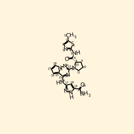 Cc1cnc(NC(=O)[C@@H]2CCCN2c2nc(Nc3cc(C(N)=O)[nH]n3)c3cccn3n2)s1